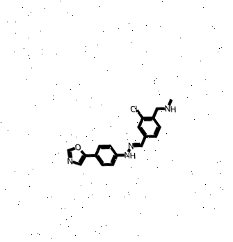 CNCc1ccc(/C=N/Nc2ccc(-c3cnco3)cc2)cc1Cl